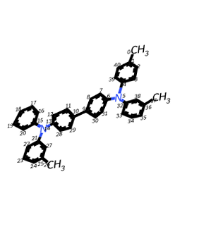 Cc1ccc(N(c2ccc(-c3ccc(N(c4ccccc4)c4cccc(C)c4)cc3)cc2)c2cccc(C)c2)cc1